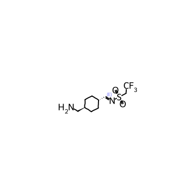 NC[C@H]1CC[C@H](/C=N/S(=O)(=O)CC(F)(F)F)CC1